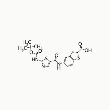 CC(C)(C)OC(=O)Nc1ncc(C(=O)Nc2ccc3sc(C(=O)O)cc3c2)s1